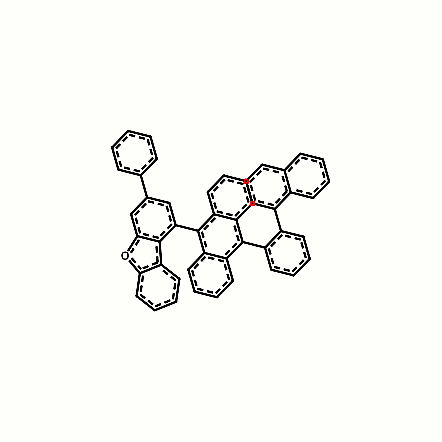 c1ccc(-c2cc(-c3c4ccccc4c(-c4ccccc4-c4cccc5ccccc45)c4ccccc34)c3c(c2)oc2ccccc23)cc1